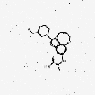 C[C@H](Nc1cc2c3c(c1)nc(N1CCC[C@@H](CO)C1)n3CCCO2)C(N)=O